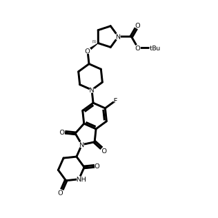 CC(C)(C)OC(=O)N1CC[C@H](OC2CCN(c3cc4c(cc3F)C(=O)N(C3CCC(=O)NC3=O)C4=O)CC2)C1